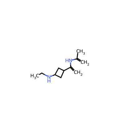 C=C(C)NC(=C)C1CC(NCC)C1